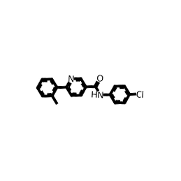 Cc1ccccc1-c1ccc(C(=O)Nc2ccc(Cl)cc2)cn1